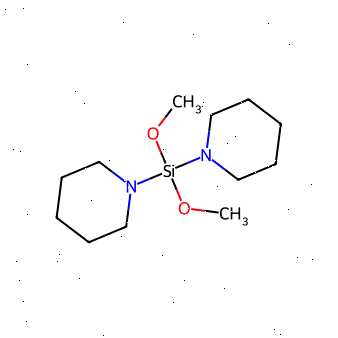 CO[Si](OC)(N1CCCCC1)N1CCCCC1